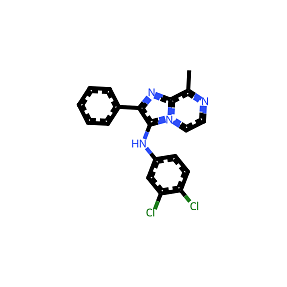 Cc1nccn2c(Nc3ccc(Cl)c(Cl)c3)c(-c3ccccc3)nc12